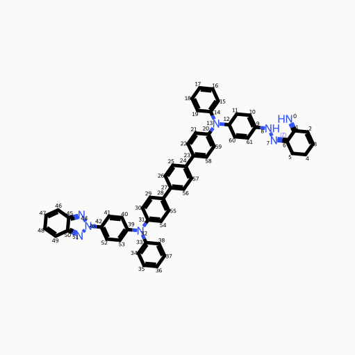 N=C1C=CCC/C1=N/NC1=CCC(N(c2ccccc2)c2ccc(-c3ccc(-c4ccc(N(c5ccccc5)c5ccc(-n6nc7ccccc7n6)cc5)cc4)cc3)cc2)C=C1